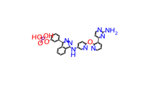 Nc1nccc(-c2cccnc2Oc2ccc(Nc3nnc(-c4cccc(OP(=O)(O)O)c4)c4ccccc34)cn2)n1